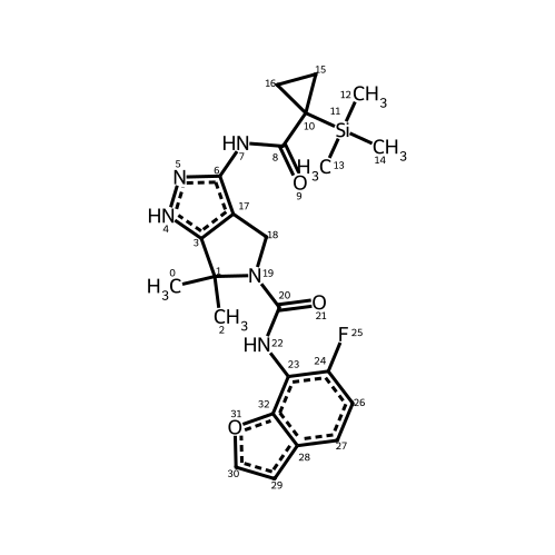 CC1(C)c2[nH]nc(NC(=O)C3([Si](C)(C)C)CC3)c2CN1C(=O)Nc1c(F)ccc2ccoc12